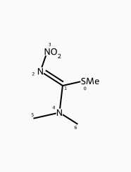 CS/C(=N\[N+](=O)[O-])N(C)C